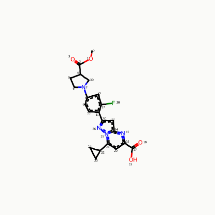 COC(=O)C1CCN(c2ccc(-c3cc4nc(C(=O)O)cc(C5CC5)n4n3)c(F)c2)C1